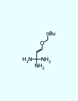 CCCCCOC=CC(N)(N)N